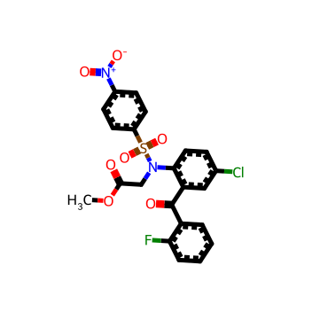 COC(=O)CN(c1ccc(Cl)cc1C(=O)c1ccccc1F)S(=O)(=O)c1ccc([N+](=O)[O-])cc1